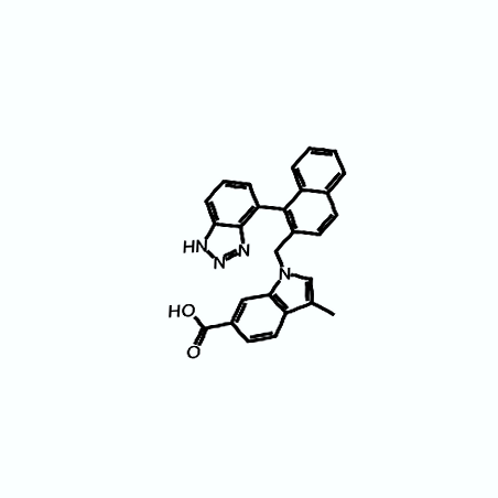 Cc1cn(Cc2ccc3ccccc3c2-c2cccc3[nH]nnc23)c2cc(C(=O)O)ccc12